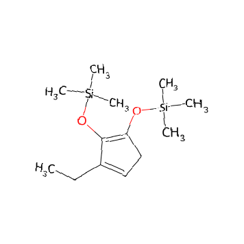 CCC1=CCC(O[Si](C)(C)C)=C1O[Si](C)(C)C